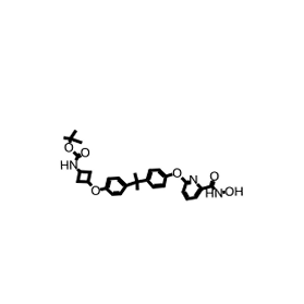 CC(C)(C)OC(=O)NC1CC(Oc2ccc(C(C)(C)c3ccc(Oc4cccc(C(=O)NO)n4)cc3)cc2)C1